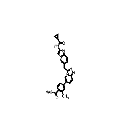 CNC(=O)c1ccc(-c2ccc3nnc(Cc4ccc5nc(NC(=O)C6CC6)cn5n4)n3c2)cc1C